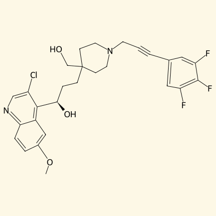 COc1ccc2ncc(Cl)c([C@H](O)CCC3(CO)CCN(CC#Cc4cc(F)c(F)c(F)c4)CC3)c2c1